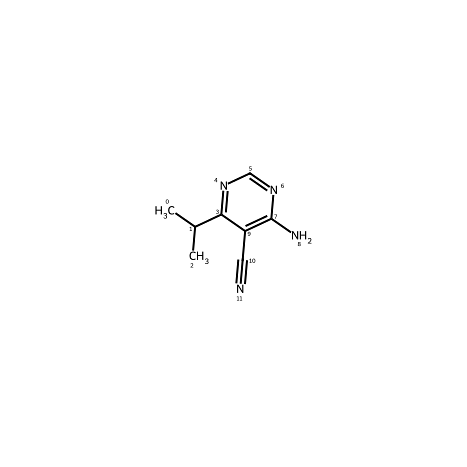 CC(C)c1ncnc(N)c1C#N